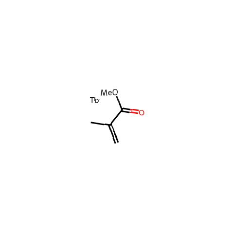 C=C(C)C(=O)OC.[Tb]